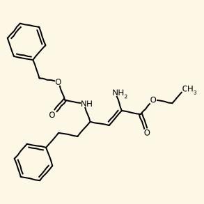 CCOC(=O)C(N)=CC(CCc1ccccc1)NC(=O)OCc1ccccc1